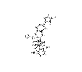 Cc1ncc(-c2ccc3cnc(NC(=O)N4[C@@H]5CC[C@H]4C[C@@H](NCCC(F)(F)F)C5)cc3n2)o1